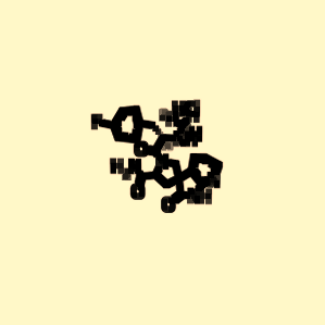 Cl.[2H]C([2H])([2H])N[C@@H](Cc1ccc(F)cc1)C(=O)N1CC2(CC1C(N)=O)C(=O)Nc1ncccc12